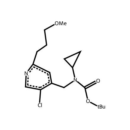 COCCCc1cc(CN(C(=O)OC(C)(C)C)C2CC2)c(Cl)cn1